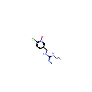 CN=C(NCc1ccc(Cl)[n+]([O-])c1)N[N+](=O)[O-]